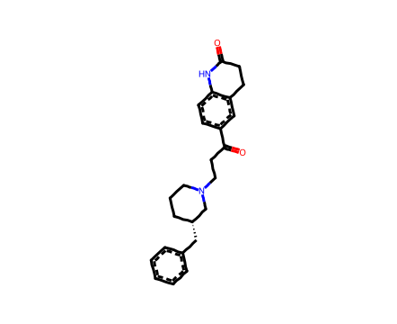 O=C1CCc2cc(C(=O)CCN3CCC[C@@H](Cc4ccccc4)C3)ccc2N1